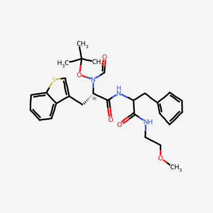 COCCNC(=O)C(Cc1ccccc1)NC(=O)[C@H](Cc1csc2ccccc12)N(C=O)OC(C)(C)C